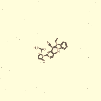 CCN1/C(=C(\C#N)c2nc(N3C(=O)CC[C@H]3C(N)=O)ncc2C)Nc2ccccc21